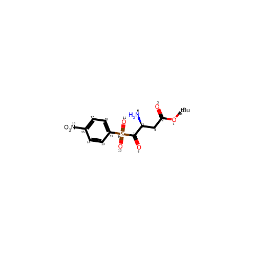 CC(C)(C)OC(=O)C[C@H](N)C(=O)S(=O)(=O)c1ccc([N+](=O)[O-])cc1